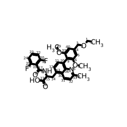 CCOCc1cc(OC)c(-c2ccc(CC(NC(=O)c3c(F)cccc3F)C(=O)O)c3ccc(C)nc23)c(OC)c1